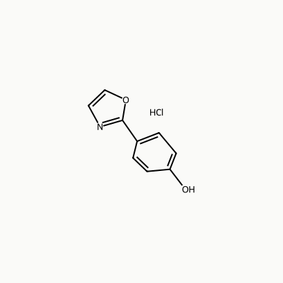 Cl.Oc1ccc(-c2ncco2)cc1